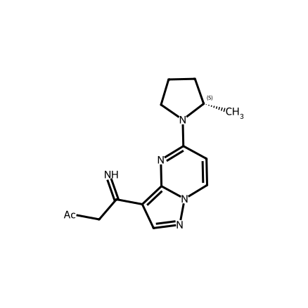 CC(=O)CC(=N)c1cnn2ccc(N3CCC[C@@H]3C)nc12